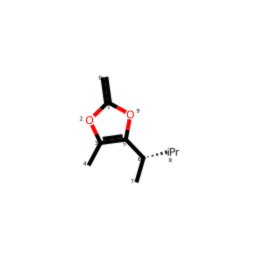 C=C1OC(C)=C([C@@H](C)C(C)C)O1